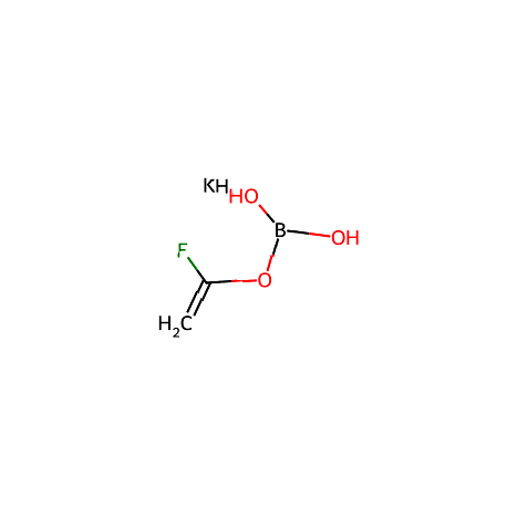 C=C(F)OB(O)O.[KH]